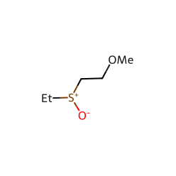 [CH2]OCC[S+]([O-])CC